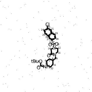 CC(C)(C)OC(=O)NC1CCC(CN2CCN(S(=O)(=O)c3ccc4cc(Cl)ccc4c3)CC2=O)CC1